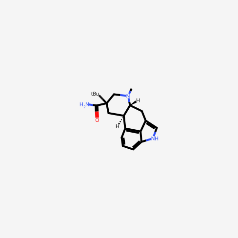 CN1CC(C(N)=O)(C(C)(C)C)C[C@@H]2c3cccc4[nH]cc(c34)C[C@H]21